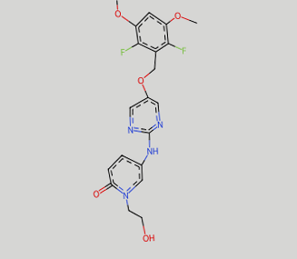 COc1cc(OC)c(F)c(COc2cnc(Nc3ccc(=O)n(CCO)c3)nc2)c1F